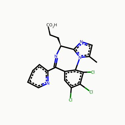 Cc1cnc2n1-c1c(cc(Cl)c(Cl)c1Cl)C(c1ccccn1)=N[C@H]2CCC(=O)O